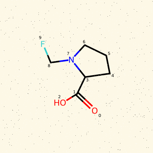 O=C(O)C1CCCN1CF